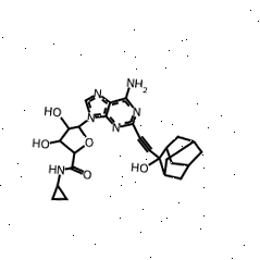 Nc1nc(C#CC2(O)C3CC4CC(C3)CC2C4)nc2c1ncn2C1OC(C(=O)NC2CC2)C(O)C1O